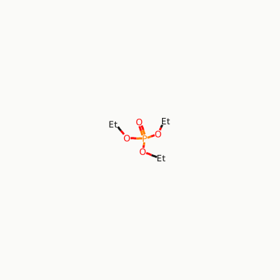 [13CH3][13CH2]OP(=O)(O[13CH2][13CH3])O[13CH2][13CH3]